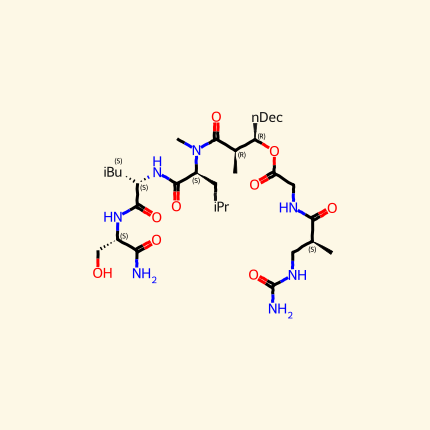 CCCCCCCCCC[C@@H](OC(=O)CNC(=O)[C@@H](C)CNC(N)=O)[C@@H](C)C(=O)N(C)[C@@H](CC(C)C)C(=O)N[C@H](C(=O)N[C@@H](CO)C(N)=O)[C@@H](C)CC